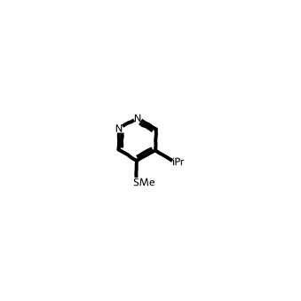 CSc1cnncc1C(C)C